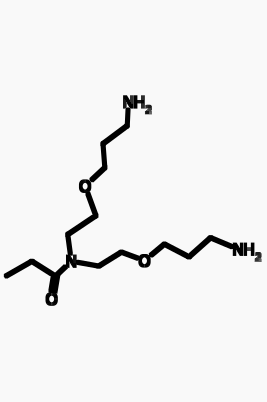 CCC(=O)N(CCOCCCN)CCOCCCN